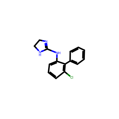 Clc1cccc(NC2=NCCN2)c1-c1ccccc1